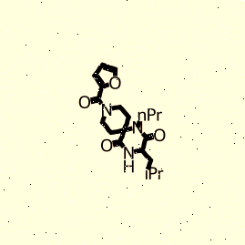 CCCN1C(=O)C(CC(C)C)NC(=O)C12CCN(C(=O)c1ccco1)CC2